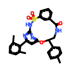 Cc1ccc(C2CNC(=O)c3cccc(c3)S(=O)(=O)Nc3nc(cc(-c4c(C)cccc4C)n3)O2)cc1